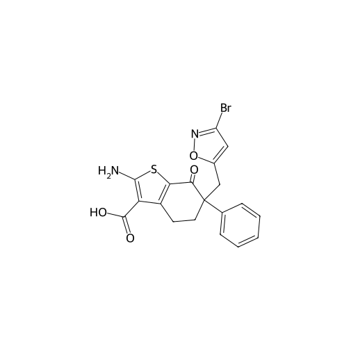 Nc1sc2c(c1C(=O)O)CCC(Cc1cc(Br)no1)(c1ccccc1)C2=O